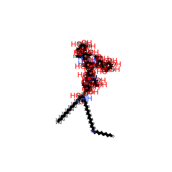 CCCCCCCC/C=C\CCCCCCCCCCCCCC(=O)N[C@@H](CO[C@@H]1OC(CO)[C@@H](O[C@@H]2OC(CO)[C@H](O)[C@H](O[C@@H]3OC(CO)[C@@H](O[C@@H]4OC(CO[C@@H]5OC(CO)[C@@H](O[C@@H]6OC(CO)[C@H](O)[C@H](O)C6O)[C@H](O)C5NC(C)=O)[C@H](O)[C@H](O[C@@H]5OC(CO)[C@@H](O[C@@H]6OC(CO)[C@H](O)[C@H](O)C6O)[C@H](O)C5NC(C)=O)C4O)[C@H](O)C3NC(C)=O)C2O)[C@H](O)C1O)[C@H](O)/C=C/CCCCCCCCCCCCC